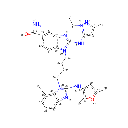 CCn1nc(C)cc1Nc1nc2cc(C(N)=O)ccc2n1CCCCn1c(Nc2cc(C)oc2C)nc2cccc(C)c21